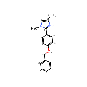 Cc1cn(C)c(-c2ccc(OCc3ccccc3)cc2)n1